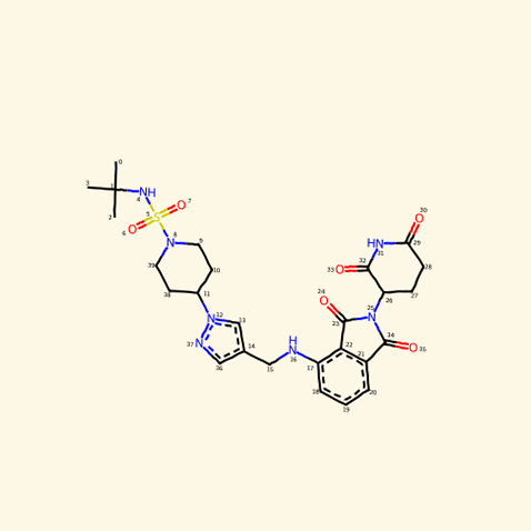 CC(C)(C)NS(=O)(=O)N1CCC(n2cc(CNc3cccc4c3C(=O)N(C3CCC(=O)NC3=O)C4=O)cn2)CC1